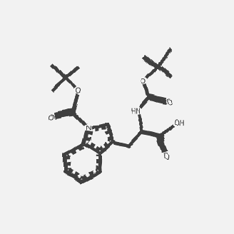 CC(C)(C)OC(=O)NC(Cc1cn(C(=O)OC(C)(C)C)c2ccccc12)C(=O)O